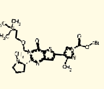 Cc1nn(C(=O)OC(C)(C)C)cc1-c1cc2nc([C@@H]3CCCN3C)n(COCC[Si](C)(C)C)c(=O)c2s1